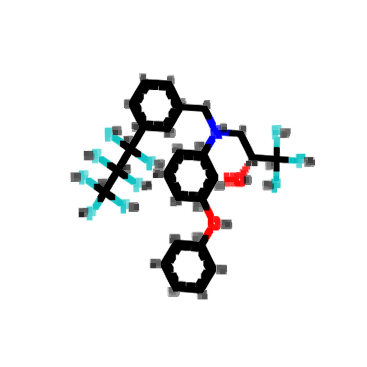 O[C@H](CN(Cc1cccc(C(F)(F)C(F)(F)C(F)(F)F)c1)c1cccc(Oc2ccccc2)c1)C(F)(F)F